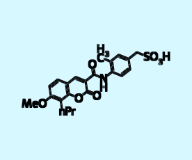 CCCc1c(OC)ccc2cc(C(=O)Nc3ccc(CS(=O)(=O)O)cc3C)c(=O)oc12